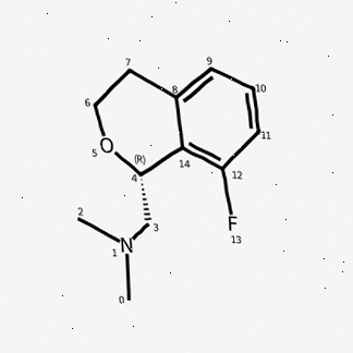 CN(C)C[C@@H]1OCCc2cccc(F)c21